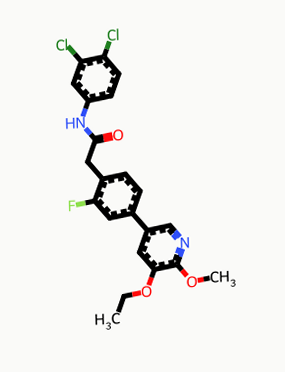 CCOc1cc(-c2ccc(CC(=O)Nc3ccc(Cl)c(Cl)c3)c(F)c2)cnc1OC